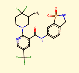 CC1CN(c2ncc(C(F)(F)F)cc2C(=O)Nc2ccc3c(c2)S(=O)(=O)NC3)CCC1(F)F